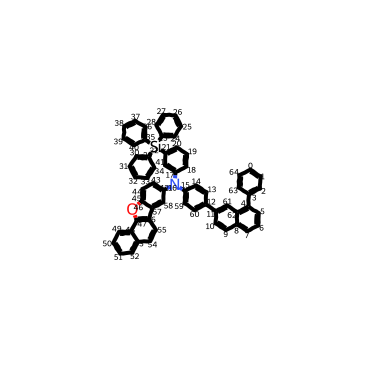 c1ccc(-c2cccc3ccc(-c4ccc(N(c5cccc([Si](c6ccccc6)(c6ccccc6)c6ccccc6)c5)c5ccc6oc7c8ccccc8ccc7c6c5)cc4)cc23)cc1